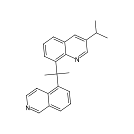 CC(C)c1cnc2c(C(C)(C)c3cccc4cnccc34)cccc2c1